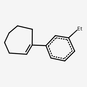 [CH2]Cc1cccc(C2=CCCCCC2)c1